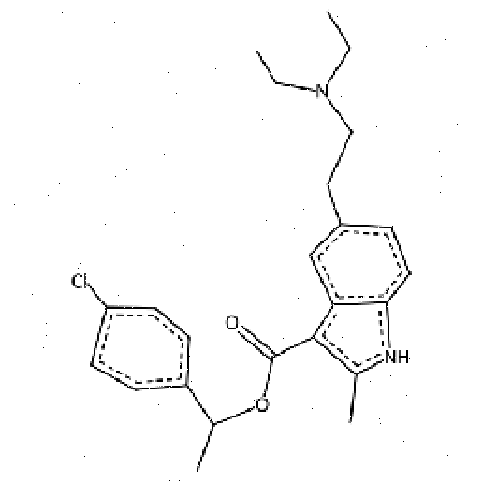 CCN(CC)CCc1ccc2[nH]c(C)c(C(=O)OC(C)c3ccc(Cl)cc3)c2c1